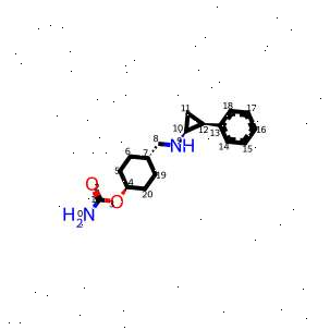 NC(=O)O[C@H]1CC[C@H](CN[C@@H]2C[C@H]2c2ccccc2)CC1